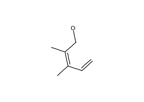 C=CC(C)=C(C)C[O]